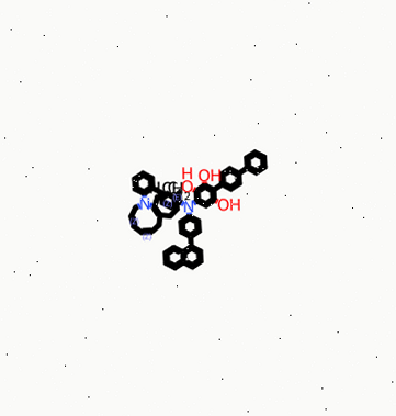 C=C(/C=C\C(=C/C)N(c1ccc(-c2cccc3ccccc23)cc1)c1cc(O)c(-c2ccc(-c3ccccc3)cc2)c(O)c1O)c1ccccc1N1C/C=C\C=C/CC2=C1C=CC=CC2